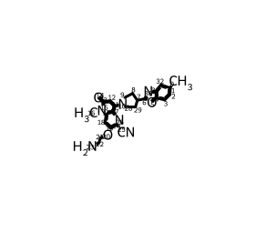 Cc1ccc2oc(C3CCN(c4cc(=O)n(C)c5cc(OCCN)c(C#N)nc45)CC3)nc2c1